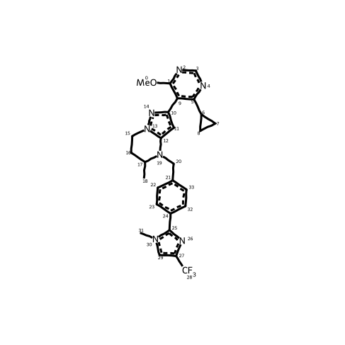 COc1ncnc(C2CC2)c1-c1cc2n(n1)CCC(C)N2Cc1ccc(-c2nc(C(F)(F)F)cn2C)cc1